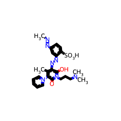 CN=Nc1ccc(S(=O)(=O)O)c(/N=N/c2c(C)c(-[n+]3ccccc3)c(=O)n(CCCN(C)C)c2O)c1